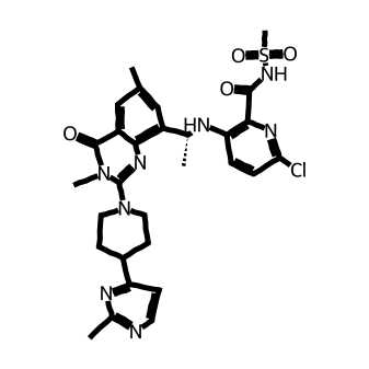 Cc1cc([C@@H](C)Nc2ccc(Cl)nc2C(=O)NS(C)(=O)=O)c2nc(N3CCC(c4ccnc(C)n4)CC3)n(C)c(=O)c2c1